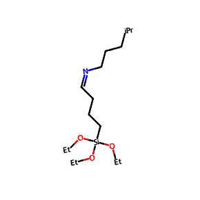 CCO[Si](CCC/C=N\CCCC(C)C)(OCC)OCC